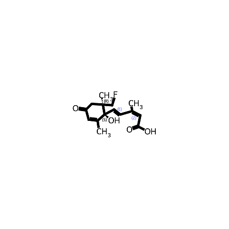 CC1=CC(=O)C[C@@](C)(CF)[C@]1(O)/C=C/C(C)=C\C(=O)O